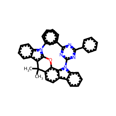 CC1(C)c2ccc3c4ccccc4n(-c4nc(-c5ccccc5)nc(-c5ccccc5)n4)c3c2Oc2c1c1ccccc1n2-c1ccccc1